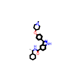 C[C@H](NC(=O)c1ccc2[nH]nc(-c3ccc(OC4CCN(C)CC4)cc3)c2c1)C1CCCCC1